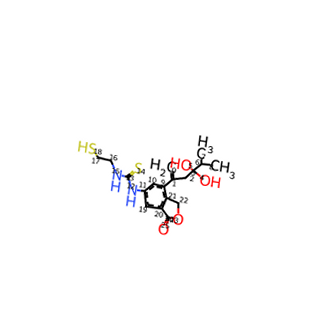 C=C(CC(O)(O)C(C)C)c1cc(NC(=S)NCCS)cc2c1COC2=O